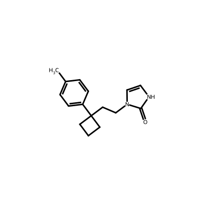 Cc1ccc(C2(CCn3cc[nH]c3=O)CCC2)cc1